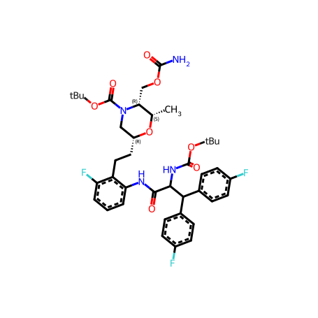 C[C@@H]1O[C@H](CCc2c(F)cccc2NC(=O)C(NC(=O)OC(C)(C)C)C(c2ccc(F)cc2)c2ccc(F)cc2)CN(C(=O)OC(C)(C)C)[C@@H]1COC(N)=O